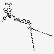 CCCCCCCCCCCCCCCCCCN(CCCCCCCCCCCCCCCCCC)C(=O)CCC(C)C1CCC2C3CCC4CC(OC(=O)NCCCCCC(=O)N5CC(OC(=O)CCC(=O)O)CC5C(OCc5ccc(OC)cc5)(c5ccccc5)c5ccc(OC)cc5)CCC4(C)C3CCC12C